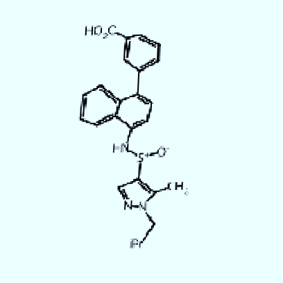 Cc1c([S+]([O-])Nc2ccc(-c3cccc(C(=O)O)c3)c3ccccc23)cnn1CC(C)C